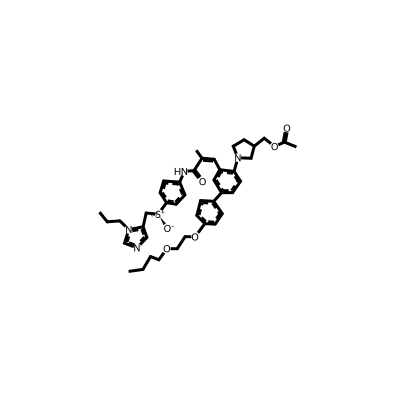 CCCCOCCOc1ccc(-c2ccc(N3CCC(COC(C)=O)C3)c(C=C(C)C(=O)Nc3ccc([S@@+]([O-])Cc4cncn4CCC)cc3)c2)cc1